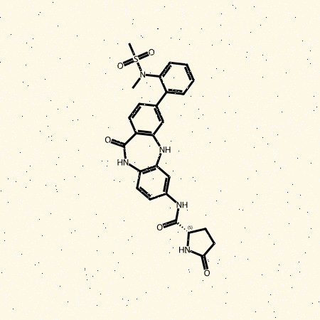 CN(c1ccccc1-c1ccc2c(c1)Nc1cc(NC(=O)[C@@H]3CCC(=O)N3)ccc1NC2=O)S(C)(=O)=O